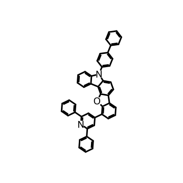 c1ccc(-c2ccc(-n3c4ccccc4c4c5oc6c(-c7cc(-c8ccccc8)nc(-c8ccccc8)c7)cccc6c5ccc43)cc2)cc1